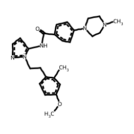 COc1ccc(CCn2nccc2NC(=O)c2ccc(N3CCN(C)CC3)cc2)c(C)c1